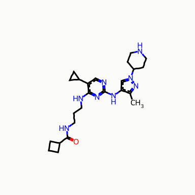 Cc1nn(C2CCNCC2)cc1Nc1ncc(C2CC2)c(NCCCNC(=O)C2CCC2)n1